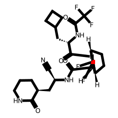 N#C[C@H](C[C@@H]1CCCNC1=O)NC(=O)[C@H]1[C@H]2CC[C@H](CC2(F)F)N1C(=O)[C@H](CC1CCC1)NC(=O)C(F)(F)F